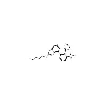 NCCCCNc1nc2c(-c3cccc(S(N)(=O)=O)c3-c3nnn[nH]3)cccc2s1